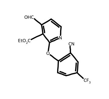 CCOC(=O)c1c(C=O)ccnc1Oc1ccc(C(F)(F)F)cc1C#N